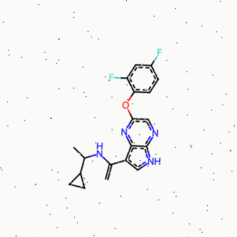 C=C(NC(C)C1CC1)c1c[nH]c2ncc(Oc3ccc(F)cc3F)nc12